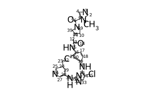 Cn1cncc1C(=O)N1CC[C@H](CC(=O)Nc2ccc3cc2CCC2C=NC=C(C2)Nc2ncc(Cl)c(n2)N3)C1